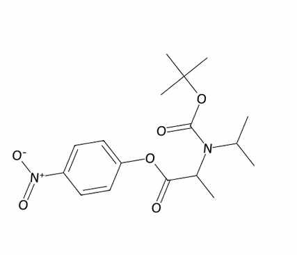 CC(C)N(C(=O)OC(C)(C)C)C(C)C(=O)Oc1ccc([N+](=O)[O-])cc1